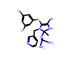 CC(C)C1=C(Sc2cc(Cl)cc(Cl)c2)N(Cc2cccnc2)C(C)(N=C(N)N)N1